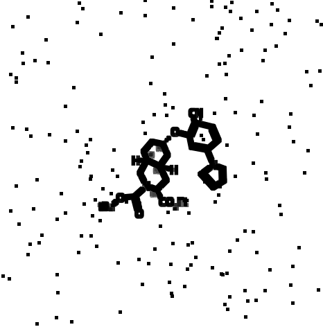 CCOC(=O)[C@@H]1C[C@H]2C[C@@H](Oc3cc(-n4cccc4)ccc3C#N)CC[C@H]2CN1C(=O)OC(C)(C)C